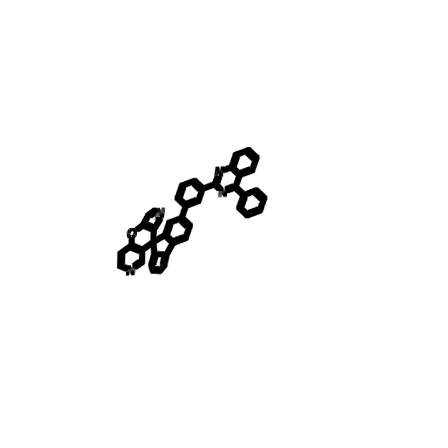 c1ccc(-c2nc(-c3cccc(-c4ccc5c(c4)C4(c6cnccc6Oc6ccncc64)c4ccccc4-5)c3)nc3ccccc23)cc1